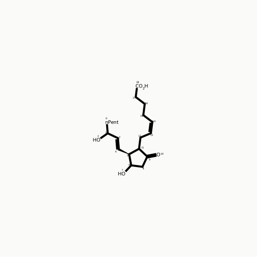 CCCCCC(O)/C=C/[C@@H]1C(O)CC(=O)C1C/C=C\CCCC(=O)O